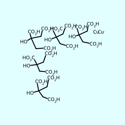 O=C(O)CC(O)(CC(=O)O)C(=O)O.O=C(O)CC(O)(CC(=O)O)C(=O)O.O=C(O)CC(O)(CC(=O)O)C(=O)O.O=C(O)CC(O)(CC(=O)O)C(=O)O.O=C(O)CC(O)(CC(=O)O)C(=O)O.[Cu].[Cu]